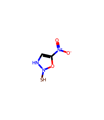 O=[N+]([O-])C1=CNN(S)O1